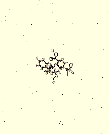 CCCC(C)(Cc1c(NC(C)=O)ccc(C(=O)OC)c1O)OS(=O)(=O)c1ccc(C)cc1